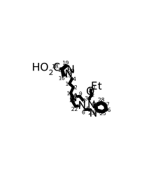 CCOCCn1c(CN2CCN(CCCCn3cc(C(=O)O)cn3)CC2)nc2ccccc21